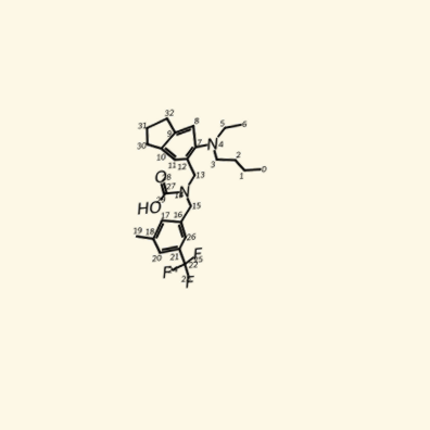 CCCCN(CC)c1cc2c(cc1CN(Cc1cc(C)cc(C(F)(F)F)c1)C(=O)O)CCC2